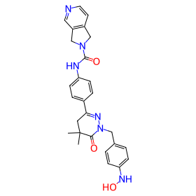 CC1(C)CC(c2ccc(NC(=O)N3Cc4ccncc4C3)cc2)=NN(Cc2ccc(NO)cc2)C1=O